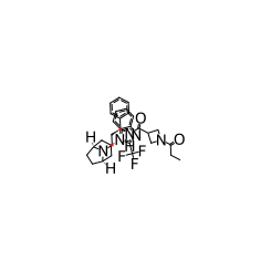 CCC(=O)N1CC(C(=O)N[C@@H](CCN2[C@@H]3CC[C@H]2C[C@H](n2c(C(F)(F)F)nc4ccccc42)C3)c2ccccc2)C1